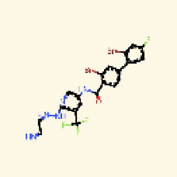 N=C/C=N\Nc1ncc(NC(=O)c2ccc(-c3ccc(F)cc3Br)cc2Br)cc1C(F)(F)F